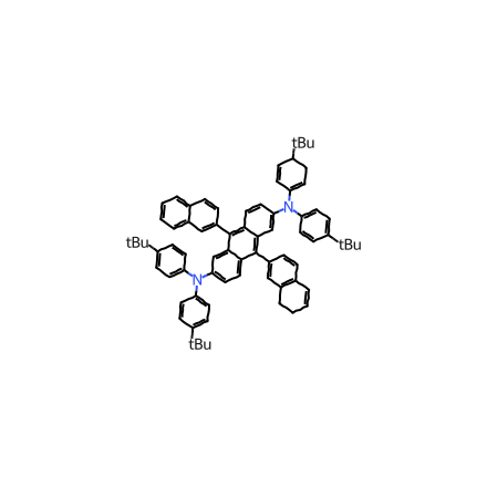 CC(C)(C)c1ccc(N(C2=CCC(C(C)(C)C)C=C2)c2ccc3c(-c4ccc5ccccc5c4)c4cc(N(c5ccc(C(C)(C)C)cc5)c5ccc(C(C)(C)C)cc5)ccc4c(-c4ccc5c(c4)CCC=C5)c3c2)cc1